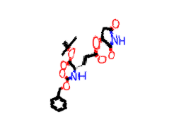 CC(C)(C)OC(=O)[C@H](CCC(=O)OC1CC(=O)NC1=O)NC(=O)OCc1ccccc1